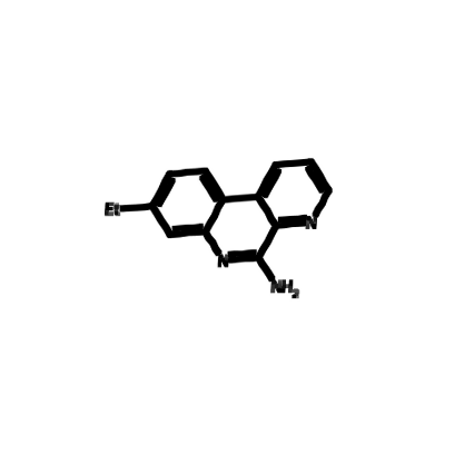 CCc1ccc2c(c1)nc(N)c1ncccc12